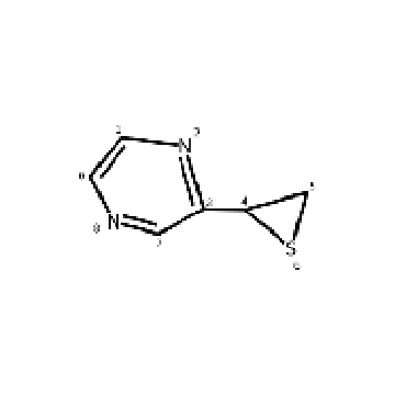 c1cnc(C2CS2)cn1